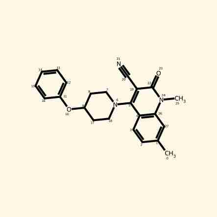 Cc1ccc2c(N3CCC(Oc4ccccc4)CC3)c(C#N)c(=O)n(C)c2c1